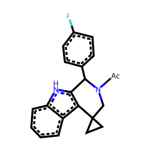 CC(=O)N1CC2(CC2)c2c([nH]c3ccccc23)C1c1ccc(F)cc1